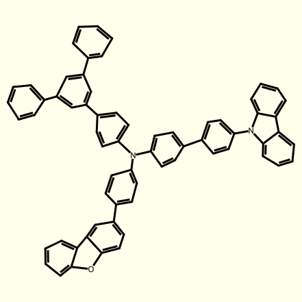 c1ccc(-c2cc(-c3ccccc3)cc(-c3ccc(N(c4ccc(-c5ccc(-n6c7ccccc7c7ccccc76)cc5)cc4)c4ccc(-c5ccc6oc7ccccc7c6c5)cc4)cc3)c2)cc1